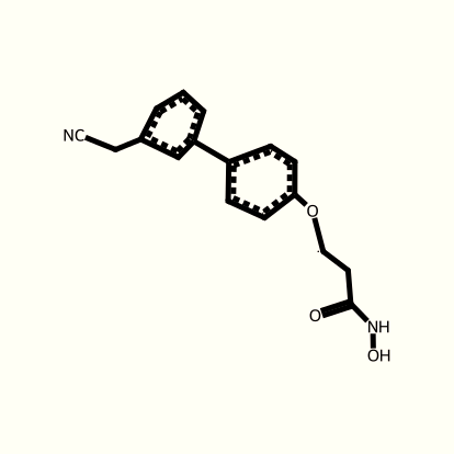 N#CCc1cccc(-c2ccc(O[CH]CC(=O)NO)cc2)c1